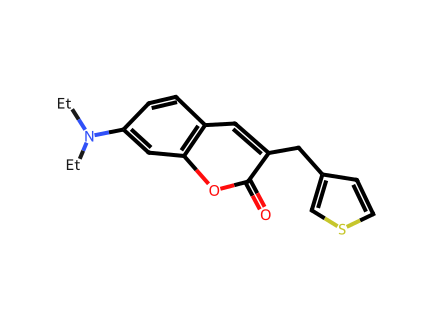 CCN(CC)c1ccc2cc(Cc3ccsc3)c(=O)oc2c1